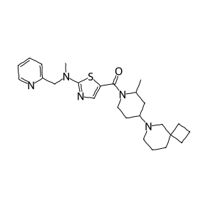 CC1CC(N2CCCC3(CCC3)C2)CCN1C(=O)c1cnc(N(C)Cc2ccccn2)s1